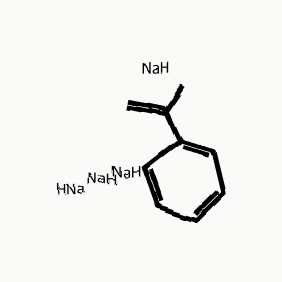 C=C(C)c1ccccc1.[NaH].[NaH].[NaH].[NaH]